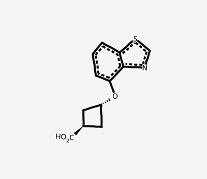 O=C(O)[C@H]1C[C@H](Oc2cccc3scnc23)C1